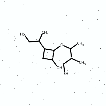 CC(CS)C(C)OC1C(O)CC1C(C)CS